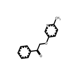 Cc1ccc(OCC(=O)c2ccccc2)cn1